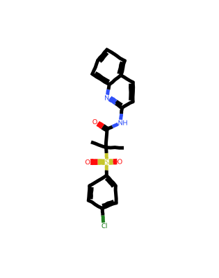 CC(C)(C(=O)Nc1ccc2ccccc2n1)S(=O)(=O)c1ccc(Cl)cc1